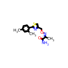 C/C(=N/OCc1csc(-c2ccc(C)cc2C)n1)C(N)=O